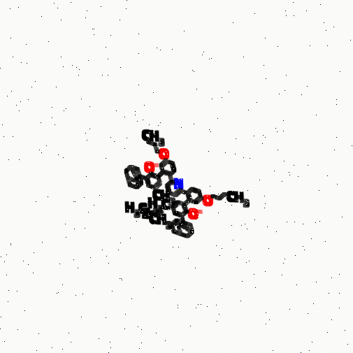 CCCCOc1ccc(-c2cccc(-c3ccc(OCCCC)cc3-c3cc(C)cc(C45CC6CC(CC(C6)C4)C5)c3[O-])n2)c(-c2cc(C)cc(C34CC5CC(CC(C5)C3)C4)c2[O-])c1.[CH3][Zr+2][CH3]